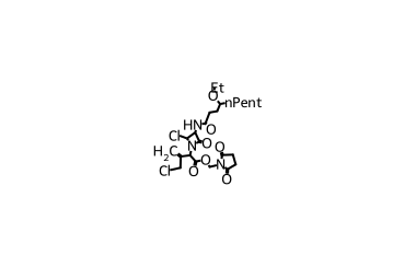 C=C(CCl)C(C(=O)OCN1C(=O)CCC1=O)N1C(=O)C(NC(=O)CCC(CCCCC)OCC)C1Cl